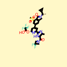 Cc1nc(-c2cc(-c3cc4c(c(S(C)(=O)=O)c3)C(=O)N([C@@H](C)C3CC3)C4)ccn2)[nH]c1C(=O)N1CC(F)(F)C1.O=C(O)C(F)(F)F